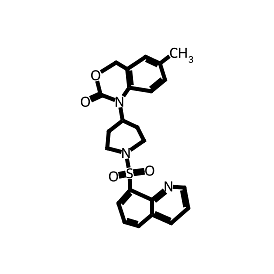 Cc1ccc2c(c1)COC(=O)N2C1CCN(S(=O)(=O)c2cccc3cccnc23)CC1